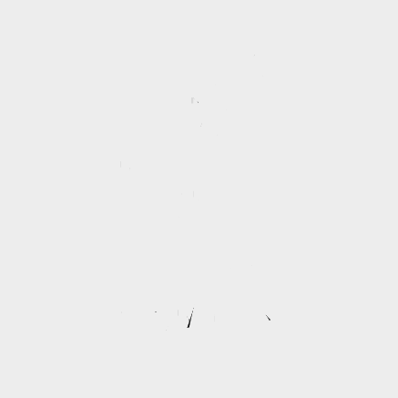 CC[C@H]1C(O[Si](C)(C)C)C2C3CCC([C@H](C)CCC(=O)NS(=O)(=O)C4CC4)[C@@]3(C)CCC2[C@@]2(C)CC[C@@H](O)[C@H](F)[C@@H]12